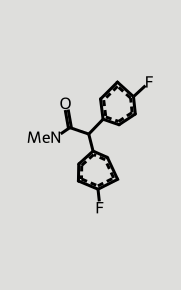 CNC(=O)C(c1ccc(F)cc1)c1ccc(F)cc1